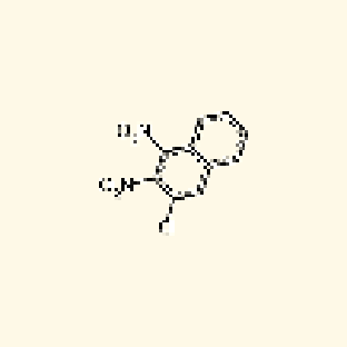 O=[N+]([O-])c1c(Cl)cc2ccccc2c1[N+](=O)[O-]